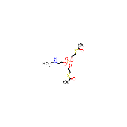 CC(C)(C)C(=O)SCCOP(=O)(OCCNC(=O)O)OCCSC(=O)C(C)(C)C